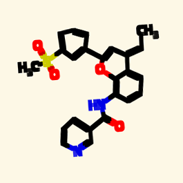 CC=C1C=C(c2cccc(S(C)(=O)=O)c2)Oc2c(NC(=O)c3cccnc3)cccc21